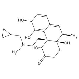 C[C@@H]1C=C2C=CC(O)C(O)=C2[C@@]2(CCN(C)CC3CC3)[C@@H](O)C(=O)CC[C@@]12O